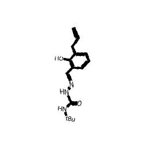 C=CCc1cccc(/C=N/NC(=O)NC(C)(C)C)c1O